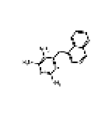 Nc1nc(N)c([N+](=O)[O-])c(Cc2cccc3ccccc23)n1